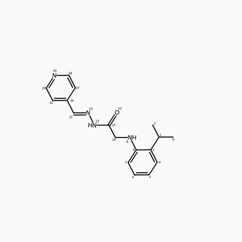 CC(C)c1ccccc1NCC(=O)N/N=C/c1ccncc1